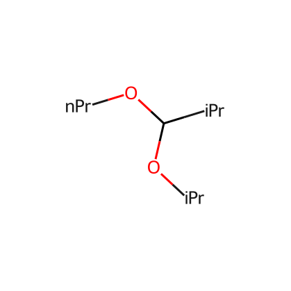 CCCOC(OC(C)C)C(C)C